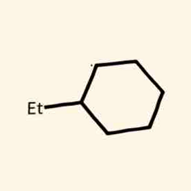 [CH2]CC1[CH]CCCC1